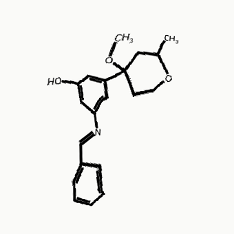 COC1(c2cc(O)cc(N=Cc3ccccc3)c2)CCOC(C)C1